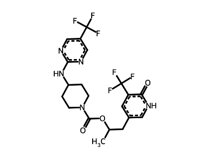 CC(Cc1c[nH]c(=O)c(C(F)(F)F)c1)OC(=O)N1CCC(Nc2ncc(C(F)(F)F)cn2)CC1